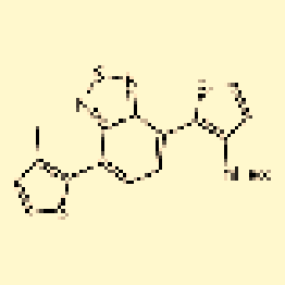 CCCCCCc1ccsc1-c1ccc(-c2sccc2C)c2nsnc12